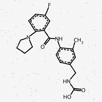 Cc1cc(CNC(=O)O)ccc1NC(=O)c1cc(F)ccc1N1CCCC1